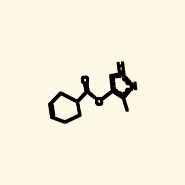 Cc1n[nH]cc1OC(=O)C1CC=CCC1